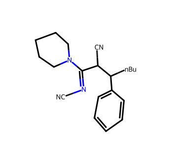 CCCCC(c1ccccc1)C(C#N)C(=NC#N)N1CCCCC1